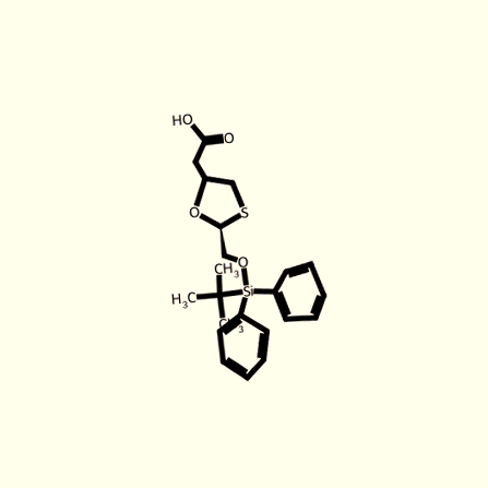 CC(C)(C)[Si](OC[C@H]1OC(CC(=O)O)CS1)(c1ccccc1)c1ccccc1